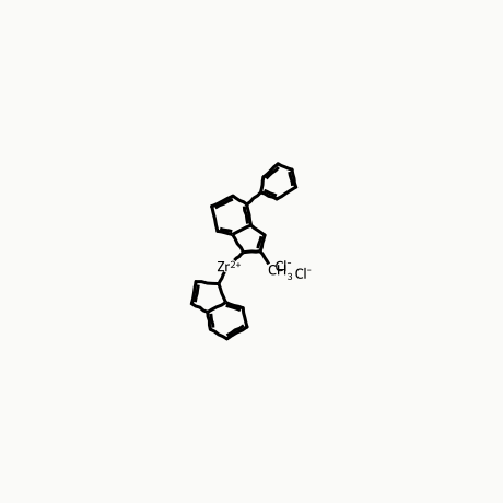 CC1=Cc2c(-c3ccccc3)cccc2[CH]1[Zr+2][CH]1C=Cc2ccccc21.[Cl-].[Cl-]